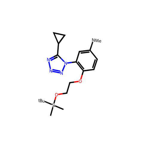 CNc1ccc(OCCO[Si](C)(C)C(C)(C)C)c(-n2nnnc2C2CC2)c1